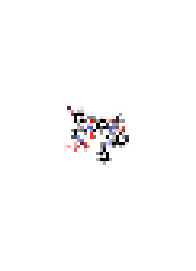 CCN(C(=O)c1cc2c(cc1F)OC(C)(C)C(=O)N2CCN(Cc1ccccc1)Cc1ccccc1)[C@H]1CN(C(=O)O)CC[C@@H]1c1cccc(OC)c1